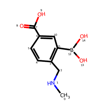 CNCc1ccc(C(=O)O)cc1B(O)O